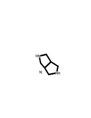 C1NCC2CNCC12.[N]